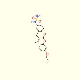 CNS(=O)(=O)Nc1cccc(Cc2c(C)c3ccc(OCCF)cc3oc2=O)c1